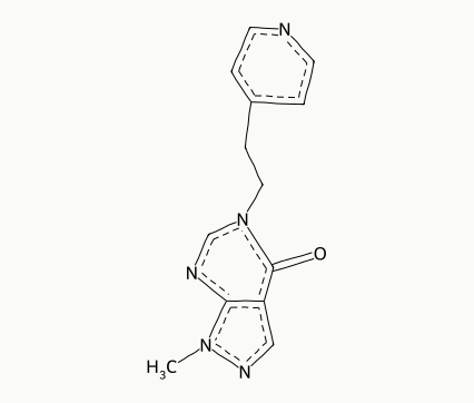 Cn1ncc2c(=O)n(CCc3ccncc3)cnc21